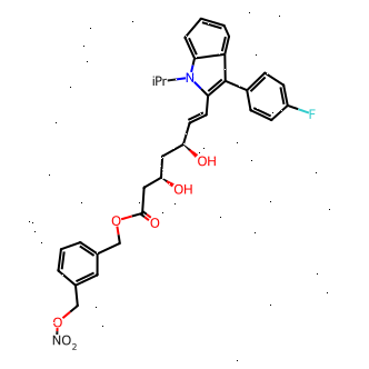 CC(C)n1c(/C=C/[C@@H](O)C[C@@H](O)CC(=O)OCc2cccc(CO[N+](=O)[O-])c2)c(-c2ccc(F)cc2)c2ccccc21